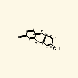 C=c1ccc2c(c1)Oc1cc(O)ccc1C=2